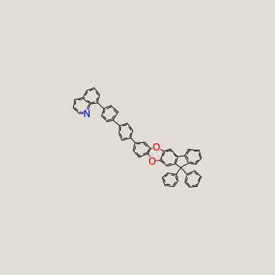 c1ccc(C2(c3ccccc3)c3ccccc3-c3cc4c(cc32)Oc2ccc(-c3ccc(-c5ccc(-c6cccc7cccnc67)cc5)cc3)cc2O4)cc1